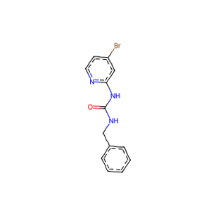 O=C(NCc1ccccc1)Nc1cc(Br)ccn1